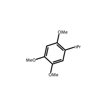 CCCc1cc(OC)c(OC)cc1OC